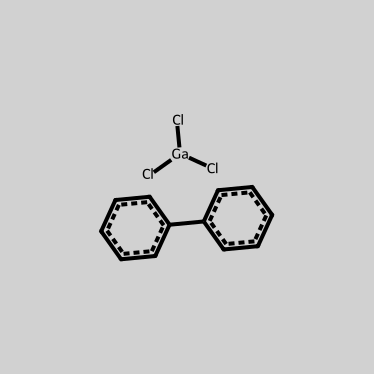 [Cl][Ga]([Cl])[Cl].c1ccc(-c2ccccc2)cc1